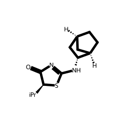 CC(C)[C@@H]1SC(N[C@@H]2C[C@H]3CC[C@@H]2C3)=NC1=O